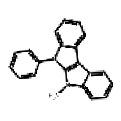 Nn1c2ccccc2c2c3ccccc3n(-c3ccccc3)c21